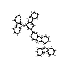 c1ccc2c(c1)sc1c(-n3c4ccccc4c4ccccc43)cc(-c3ccc4sc5c(-n6c7ccccc7c7ccccc76)cccc5c4c3)cc12